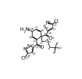 CC(C)(C)CSCC1(C(=O)c2cc(Cl)ns2)C=CC(N)C=C1C(=O)c1cc(Cl)ns1